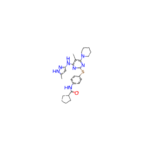 Cc1cc(Nc2nc(Sc3ccc(NC(=O)C4CCCC4)cc3)nc(N3CCCCC3)c2C)n[nH]1